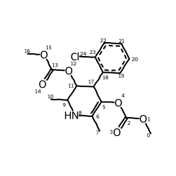 COC(=O)OC1=C(C)NC(C)C(OC(=O)OC)C1c1ccccc1Cl